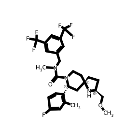 COC[C@@H]1CC[C@@]2(CCN(C(=O)N(C)Cc3cc(C(F)(F)F)cc(C(F)(F)F)c3)[C@@H](c3ccc(F)cc3C)C2)N1